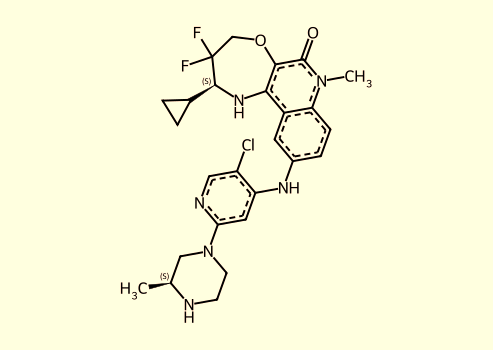 C[C@H]1CN(c2cc(Nc3ccc4c(c3)c3c(c(=O)n4C)OCC(F)(F)[C@H](C4CC4)N3)c(Cl)cn2)CCN1